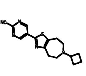 N#Cc1ncc(-c2nc3c(s2)CCN(C2CCC2)CC3)cn1